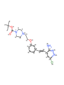 CC(C)(C)OC(=O)N1CCN(CCOc2cccc(C#Cc3cc(Cl)nnc3N)c2)CC1